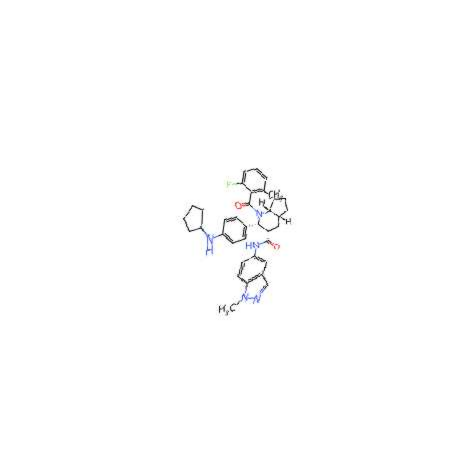 Cc1cccc(F)c1C(=O)N1[C@@H]2CCC[C@@H]2C[C@H](C(=O)Nc2ccc3c(cnn3C)c2)[C@@H]1c1ccc(NC2CCCC2)cc1